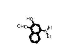 CCN(CC)c1cc(O)c(C=O)c2ccccc12